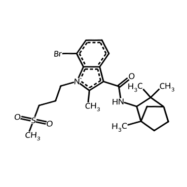 Cc1c(C(=O)NC2C3(C)CCC(C3)C2(C)C)c2cccc(Br)c2n1CCCS(C)(=O)=O